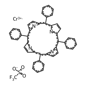 C1=Cc2nc1c(-c1ccccc1)c1ccc([n-]1)c(-c1ccccc1)c1nc(c(-c3ccccc3)c3ccc([n-]3)c2-c2ccccc2)C=C1.O=S(=O)([O-])C(F)(F)F.[Cr+3]